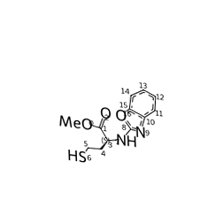 COC(=O)[C@H](CCS)Nc1nc2ccccc2o1